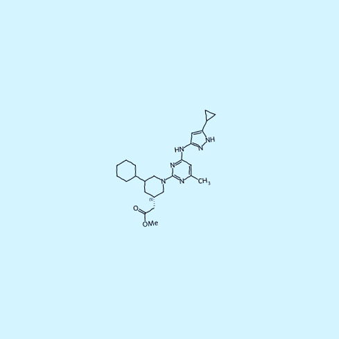 COC(=O)C[C@@H]1CC(C2CCCCC2)CN(c2nc(C)cc(Nc3cc(C4CC4)[nH]n3)n2)C1